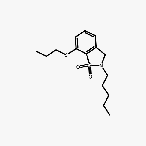 CCCCCN1Cc2cccc(SCCC)c2S1(=O)=O